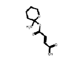 O=C(O)/C=C/C(=O)OC1([SiH3])CCCCO1